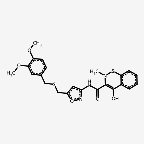 COc1ccc(CSCc2cc(NC(=O)C3=C(O)c4ccccc4SN3C)no2)cc1OC